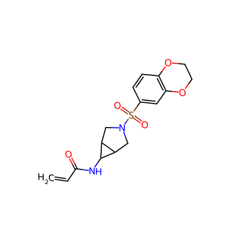 C=CC(=O)NC1C2CN(S(=O)(=O)c3ccc4c(c3)OCCO4)CC21